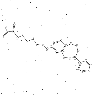 C=C(C)C(=O)OCCCCCOc1ccc2c(c1)CC=C(c1ccccc1)CCC2